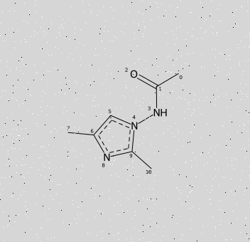 CC(=O)Nn1[c]c(C)nc1C